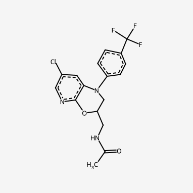 CC(=O)NCC1CN(c2ccc(C(F)(F)F)cc2)c2cc(Cl)cnc2O1